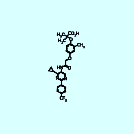 Cc1cc(OCC(=O)Nc2cnc(-c3ccc(C(F)(F)F)cc3)nc2C2CC2)ccc1OC(C)(C)C(=O)O